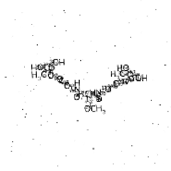 CC(=O)CCC(C)(CCC(=O)NCCOCCOCCOC1OC(CO)CC(O)C1C)CCC(=O)NCCOCCOCCOC1OC(CO)CC(O)C1C